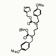 COc1ccc(CN(CCCN(Cc2ccc(OC)cc2)C(=O)OC(C)(C)C)C(=O)OCc2cncs2)cc1